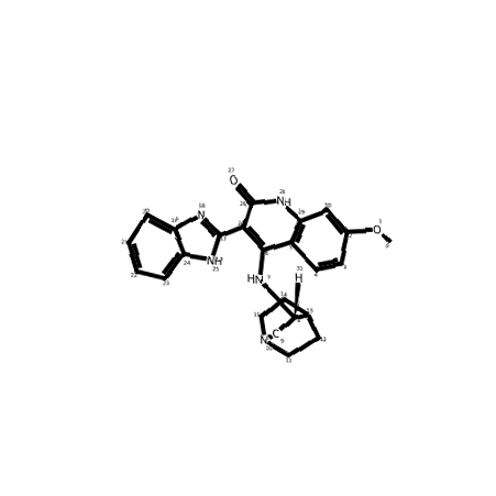 COc1ccc2c(N[C@H]3CN4CCC3CC4)c(-c3nc4ccccc4[nH]3)c(=O)[nH]c2c1